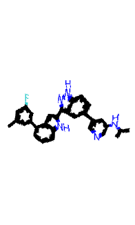 Cc1cc(F)cc(-c2cccc3[nH]c(-c4n[nH]c5ccc(-c6cncc(NC(C)C)c6)cc45)cc23)c1